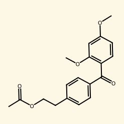 COc1ccc(C(=O)c2ccc(CCOC(C)=O)cc2)c(OC)c1